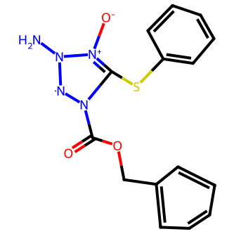 NN1[N]N(C(=O)OCc2ccccc2)C(Sc2ccccc2)=[N+]1[O-]